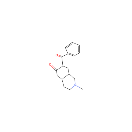 CN1CCC2CC(=O)C(C(=O)c3ccccc3)CC2C1